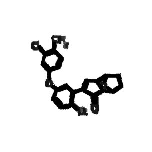 CCc1ccc(Oc2ccc(C(F)(F)F)c(Cl)c2)cc1C1=CC2C3CCC(O3)C2C1=O